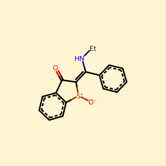 CCNC(=C1C(=O)c2ccccc2[S+]1[O-])c1ccccc1